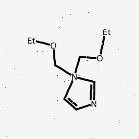 CCOC[N+]1(COCC)C=CN=C1